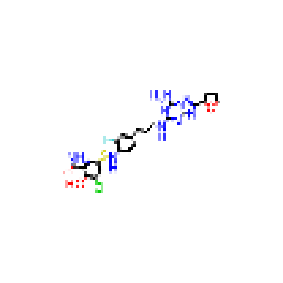 NC(=O)c1cc(SNc2ccc(CCCNc3nc(N)n4nc(-c5ccco5)nc4n3)cc2F)cc(Cl)c1O